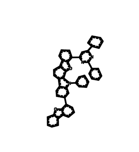 c1ccc(-c2cc(-c3cccc4c3oc3c4ccc4c5ccc(-c6cccc7c6oc6ccccc67)cc5n(-c5ccccc5)c43)nc(-c3ccccc3)n2)cc1